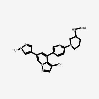 Cn1cc(-c2cc(-c3ccc(N4CCCC(NC=O)C4)nc3)c3c(C#N)cnn3c2)cn1